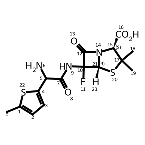 Cc1ccc(C(N)C(=O)NC2(F)C(=O)N3[C@@H](C(=O)O)C(C)(C)S[C@@H]32)s1